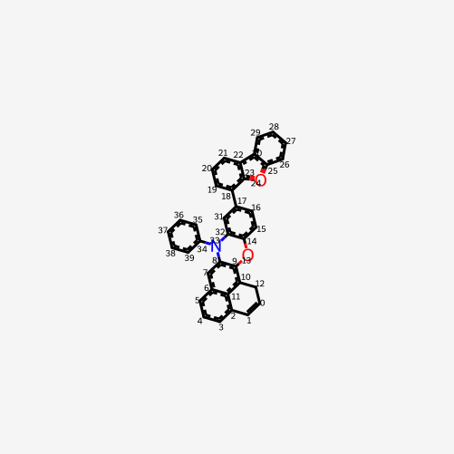 C1=Cc2cccc3cc4c(c(c23)C1)Oc1ccc(-c2cccc3c2oc2ccccc23)cc1N4c1ccccc1